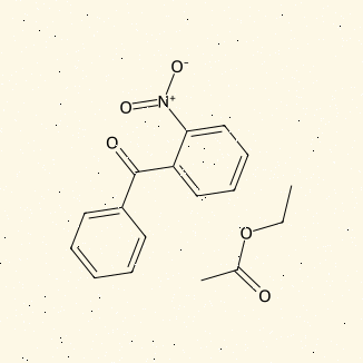 CCOC(C)=O.O=C(c1ccccc1)c1ccccc1[N+](=O)[O-]